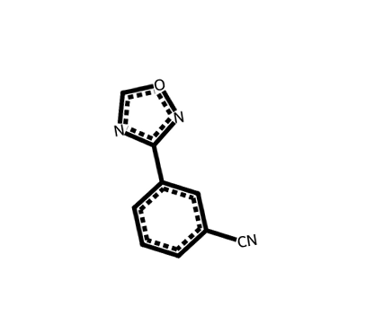 N#Cc1cccc(-c2ncon2)c1